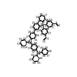 C=Cc1ccc(C2(c3ccc(C=C)cc3)c3ccccc3-c3ccc(-c4ccc(N(c5ccc(N(c6ccccc6)C6C=CC=CC6)cc5)C5C=CC=CC5)cc4)cc32)cc1